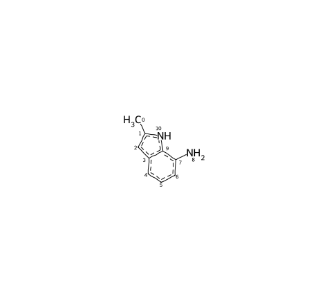 Cc1cc2cccc(N)c2[nH]1